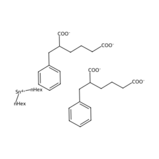 CCCCC[CH2][Sn+4][CH2]CCCCC.O=C([O-])CCCC(Cc1ccccc1)C(=O)[O-].O=C([O-])CCCC(Cc1ccccc1)C(=O)[O-]